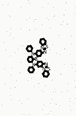 c1ccc(N2c3cc4c(cc3B3c5cc6nc7sc8ccccc8n7c6cc5N(c5ccccc5)c5cccc2c53)nc2sc3ccccc3n24)cc1